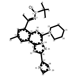 CC(=N[S+]([O-])C(C)(C)C)c1cc(C)cc2c1nc(N1CCCCC1)n1nc(-c3cscn3)nc21